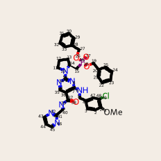 COc1ccc(CNc2nc(N3CCC[C@H]3CP(=O)(OCc3ccccc3)OCc3ccccc3)ncc2C(=O)N=Cc2ncccn2)cc1Cl